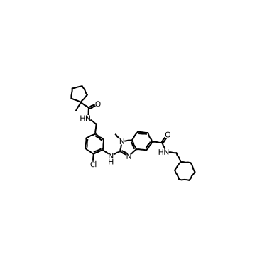 Cn1c(Nc2cc(CNC(=O)C3(C)CCCC3)ccc2Cl)nc2cc(C(=O)NCC3CCCCC3)ccc21